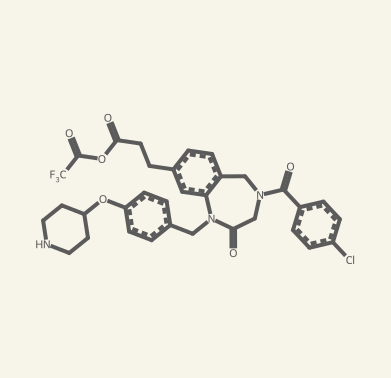 O=C(CCc1ccc2c(c1)N(Cc1ccc(OC3CCNCC3)cc1)C(=O)CN(C(=O)c1ccc(Cl)cc1)C2)OC(=O)C(F)(F)F